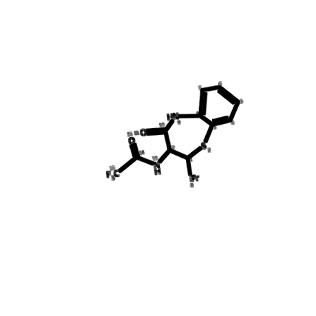 CC(C)C1Sc2ccccc2NC(=O)C1NC(=O)C(F)(F)F